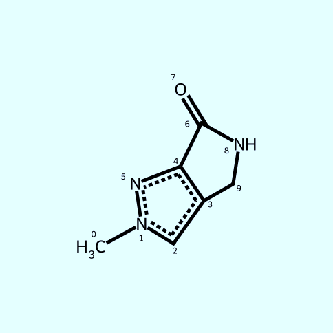 Cn1cc2c(n1)C(=O)NC2